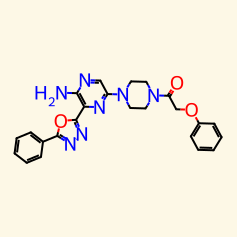 Nc1ncc(N2CCN(C(=O)COc3ccccc3)CC2)nc1-c1nnc(-c2ccccc2)o1